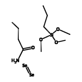 CCCC(N)=O.CCC[Si](OC)(OC)OC.[Se]=[Se]